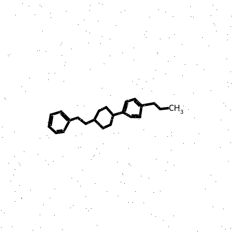 CCCc1ccc(C2CCC(CCc3ccccc3)CC2)cc1